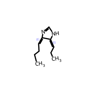 CC/C=c1/[nH]cn/c1=C/CCC